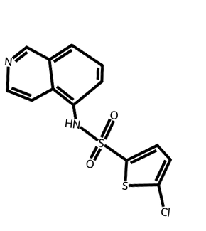 O=S(=O)(Nc1cccc2cnccc12)c1ccc(Cl)s1